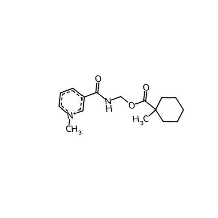 C[n+]1cccc(C(=O)NCOC(=O)C2(C)CCCCC2)c1